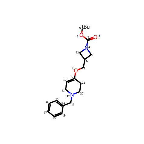 CC(C)(C)OC(=O)N1CC(COC2=CCN(Cc3ccccc3)CC2)C1